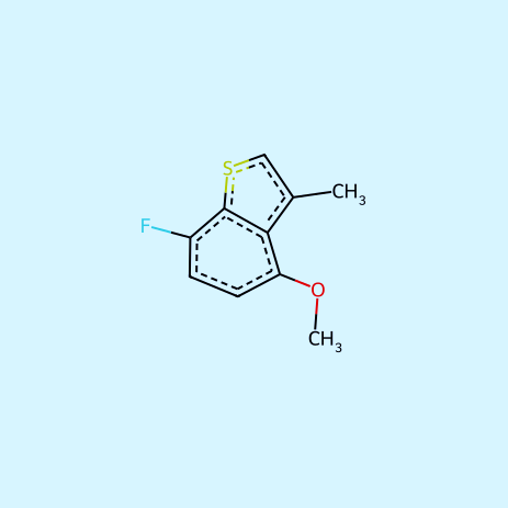 COc1ccc(F)c2scc(C)c12